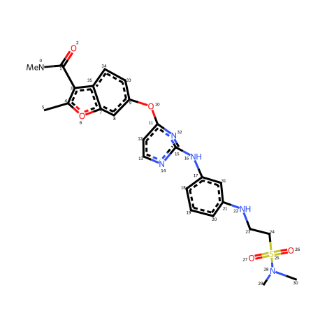 CNC(=O)c1c(C)oc2cc(Oc3ccnc(Nc4cccc(NCCS(=O)(=O)N(C)C)c4)n3)ccc12